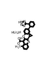 Cc1cccc2nc(C3CC3)c(Oc3ccc(-c4ccccc4-c4nn[nH]n4)cc3)c(C(=O)O)c12.[LiH].[LiH]